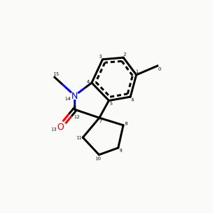 Cc1ccc2c(c1)C1(CCCC1)C(=O)N2C